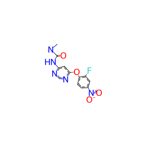 CN(C)C(=O)Nc1cc(Oc2ccc([N+](=O)[O-])cc2F)ncn1